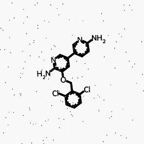 Nc1ccc(-c2cnc(N)c(OCc3c(Cl)cccc3Cl)c2)cn1